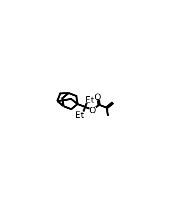 C=C(C)C(=O)OC(CC)(CC)C12CC3CC(C1)C(C3)C2